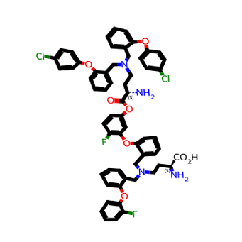 N[C@@H](CCN(Cc1ccccc1Oc1ccccc1F)Cc1ccccc1Oc1cc(OC(=O)[C@@H](N)CCN(Cc2ccccc2Oc2ccc(Cl)cc2)Cc2ccccc2Oc2ccc(Cl)cc2)ccc1F)C(=O)O